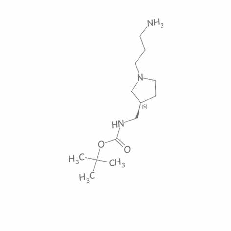 CC(C)(C)OC(=O)NC[C@@H]1CCN(CCCN)C1